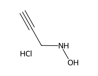 C#CCNO.Cl